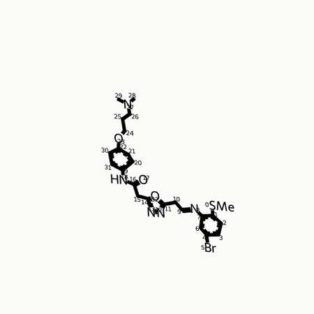 CSc1ccc(Br)cc1/N=C/Cc1nnc(CC(=O)Nc2ccc(OCCCN(C)C)cc2)o1